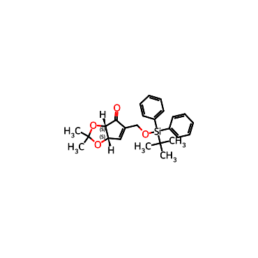 CC1(C)O[C@H]2C=C(CO[Si](c3ccccc3)(c3ccccc3)C(C)(C)C)C(=O)[C@H]2O1